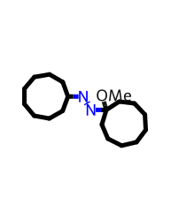 COC1(N=NC2CCCCCCCC2)CCCCCCCC1